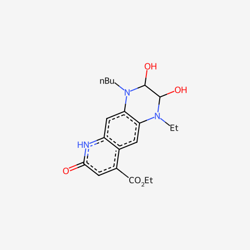 CCCCN1c2cc3[nH]c(=O)cc(C(=O)OCC)c3cc2N(CC)C(O)C1O